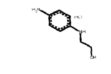 Cl.Nc1ccc(NCCO)cc1